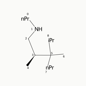 CCCNC[C@H](C)C(C)(CCC)C(C)C